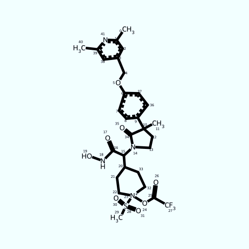 Cc1cc(COc2ccc(C3(C)CCN(C(C(=O)NO)C4CC[N+](OC(=O)C(F)(F)F)(S(C)(=O)=O)CC4)C3=O)cc2)cc(C)n1